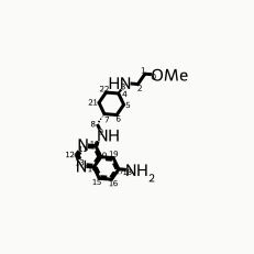 COCCN[C@H]1CC[C@H](CNc2ncnc3ccc(N)cc23)CC1